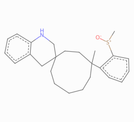 C[S+]([O-])c1ccccc1C1(C)CCCCCC2(CC1)CNc1ccccc1C2